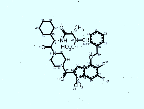 C[C@@H](C(=O)N[C@H](C(=O)N1CCN(C(=O)c2cc3c(OCc4ccccc4)c(F)c(F)cc3n2C)CC1)C1CCCCC1)N(C)C(=O)O